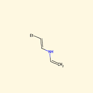 C=CNC=CCC